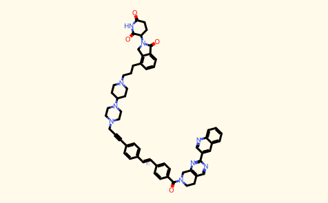 O=C1CCC(N2Cc3c(CCCN4CCC(N5CCN(CC#Cc6ccc(/C=C/c7ccc(C(=O)N8CCc9cnc(-c%10cnc%11ccccc%11c%10)nc9C8)cc7)cc6)CC5)CC4)cccc3C2=O)C(=O)N1